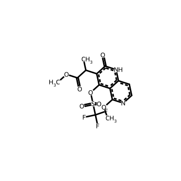 COC(=O)C(C)c1c(OS(=O)(=O)C(F)(F)F)c2c(OC)nccc2[nH]c1=O